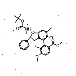 COC(=O)c1ccc(OC)c(F)c1-c1c(Cl)c(F)cc2c1C[C@@](CNC(=O)OC(C)(C)C)(c1ccccc1)O2